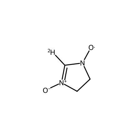 [2H]C1=[N+]([O-])CCN1[O]